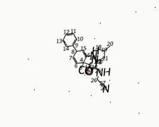 CNC(=O)C1(Cl)C=CC(c2ccccc2)C=C1N1CC(C)C[C@H]1C(=O)NCC#N